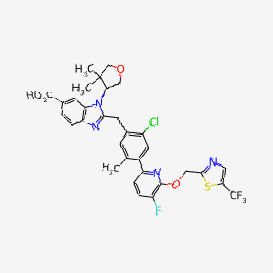 Cc1cc(Cc2nc3ccc(C(=O)O)cc3n2[C@@H]2COCC2(C)C)c(Cl)cc1-c1ccc(F)c(OCc2ncc(C(F)(F)F)s2)n1